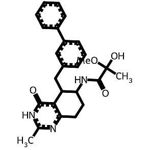 COC(C)(O)C(=O)NC1CCc2nc(C)[nH]c(=O)c2C1Cc1cccc(-c2ccccc2)c1